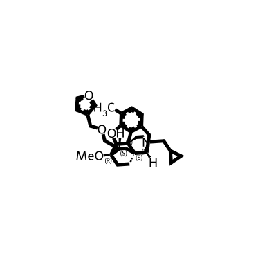 CO[C@]12CC[C@@]3(C[C@H]1COCc1ccoc1)[C@H]1Cc4ccc(C)c5c4[C@@]3(CCN1CC1CC1)C2O5